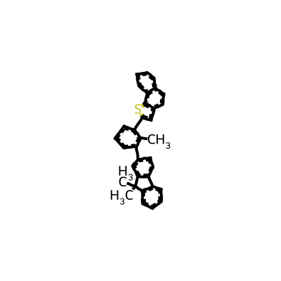 Cc1c(-c2ccc3c(c2)C(C)(C)c2ccccc2-3)cccc1-c1cc2ccc3ccccc3c2s1